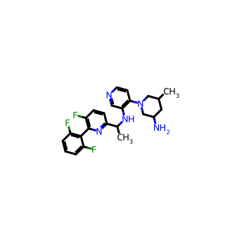 CC1CC(N)CN(c2ccncc2NC(C)c2ccc(F)c(-c3c(F)cccc3F)n2)C1